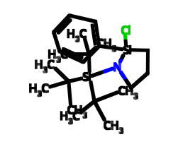 CC(C)(C)[Si](N1CCC[Si]1(Cl)c1ccccc1)(C(C)(C)C)C(C)(C)C